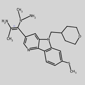 CSc1ccc2c3ncc(/C(=C(\C)N)N(C)N)cc3n(CC3CCOCC3)c2c1